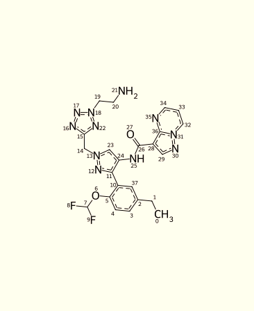 CCc1ccc(OC(F)F)c(-c2nn(Cc3nnn(CCN)n3)cc2NC(=O)c2cnn3cccnc23)c1